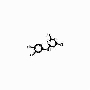 Clc1cc(Nc2ccc(Cl)c(Cl)c2)nc(Cl)n1